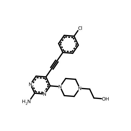 Nc1ncc(C#Cc2ccc(Cl)cc2)c(N2CCN(CCO)CC2)n1